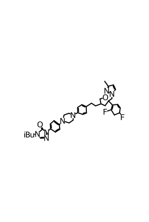 CCC(C)n1cnn(-c2ccc(N3CCN(c4ccc(CCC5COC(Cn6ccc(C)n6)(C6=C(F)CC(F)C=C6)C5)cc4)CC3)cc2)c1=O